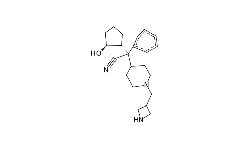 N#CC(c1ccccc1)(C1CCN(CC2CNC2)CC1)[C@H]1CCC[C@@H]1O